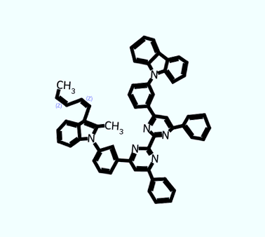 C/C=C\C=C/c1c(C)n(-c2cccc(-c3cc(-c4ccccc4)nc(-c4nc(-c5ccccc5)cc(-c5cccc(-n6c7ccccc7c7ccccc76)c5)n4)n3)c2)c2ccccc12